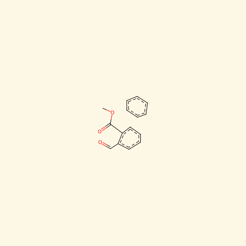 COC(=O)c1ccccc1C=O.c1ccccc1